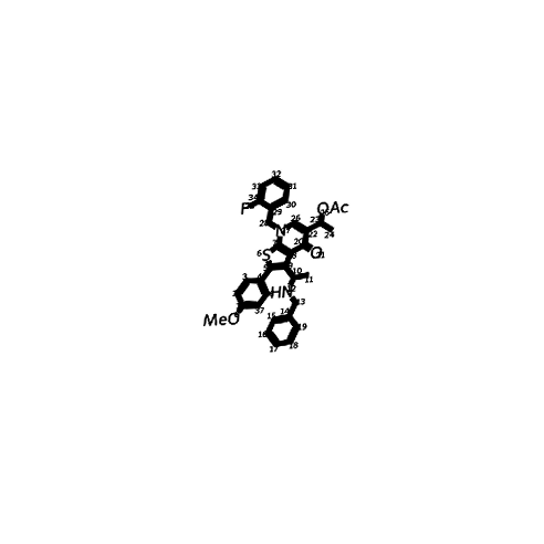 COc1ccc(-c2sc3c(c2C(C)NCc2ccccc2)c(=O)c(C(C)OC(C)=O)cn3Cc2ccccc2F)cc1